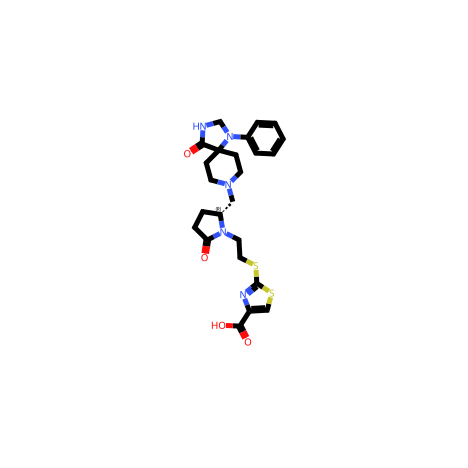 O=C(O)c1csc(SCCN2C(=O)CC[C@@H]2CN2CCC3(CC2)C(=O)NCN3c2ccccc2)n1